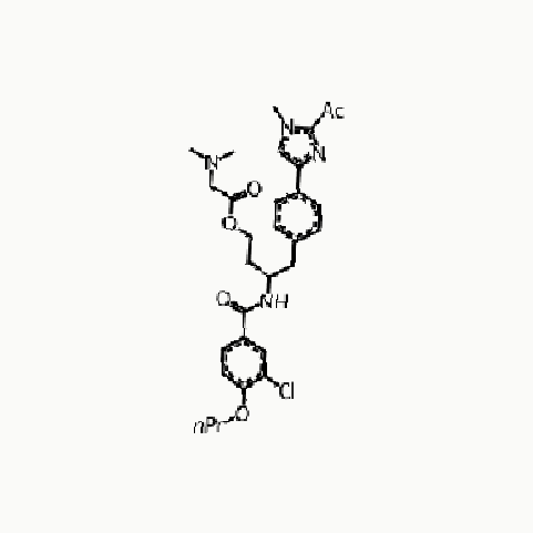 CCCOc1ccc(C(=O)N[C@@H](CCOC(=O)CN(C)C)Cc2ccc(-c3cn(C)c(C(C)=O)n3)cc2)cc1Cl